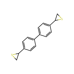 c1cc(C2CS2)ccc1-c1ccc(C2CS2)cc1